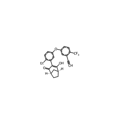 C#Cc1cc(Oc2ccc(CC)c(C3=C(O)[C@H]4CC[C@H](C4)C3=O)c2)ccc1C(F)(F)F